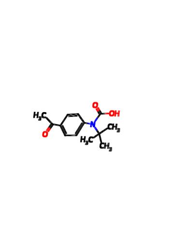 CC(=O)c1ccc(N(C(=O)O)C(C)(C)C)cc1